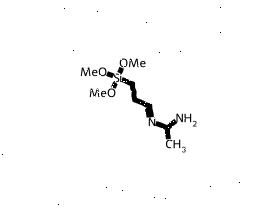 CO[Si](CCC=NC(C)N)(OC)OC